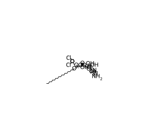 CCCCCCCCCCCCCCCCCCOC[C@H](COP(=O)(O)OC[C@H]1O[C@@](C)(c2ccc3c(N)ncnn23)[C@H](O)[C@@H]1O)OCc1ccc(Cl)cc1Cl